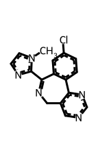 Cn1ccnc1C1=NCc2cncnc2-c2ccc(Cl)cc21